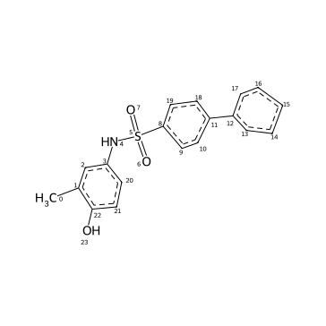 Cc1cc(NS(=O)(=O)c2ccc(-c3ccccc3)cc2)ccc1O